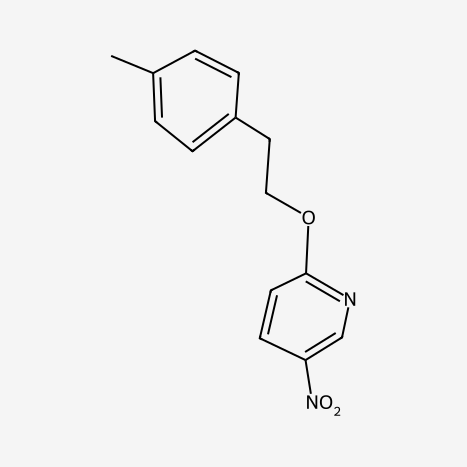 Cc1ccc(CCOc2ccc([N+](=O)[O-])cn2)cc1